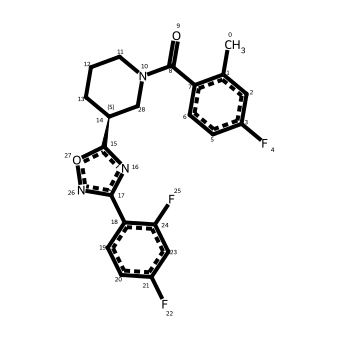 Cc1cc(F)ccc1C(=O)N1CCC[C@H](c2nc(-c3ccc(F)cc3F)no2)C1